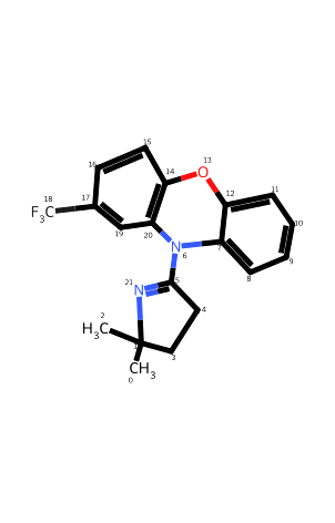 CC1(C)CCC(N2c3ccccc3Oc3ccc(C(F)(F)F)cc32)=N1